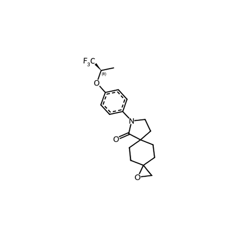 C[C@@H](Oc1ccc(N2CCC3(CCC4(CC3)CO4)C2=O)cc1)C(F)(F)F